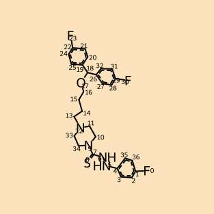 Fc1ccc(NNC(=S)N2CCN(CCCCOC(c3ccc(F)cc3)c3ccc(F)cc3)CC2)cc1